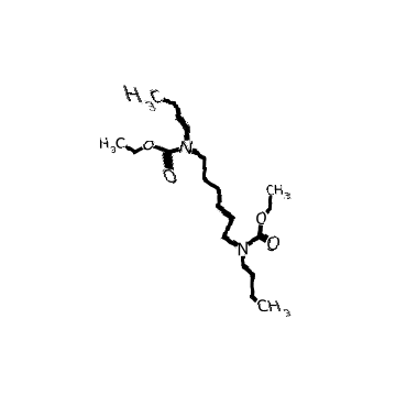 CCCCN(CCCCCCN(CCCC)C(=O)OCC)C(=O)OCC